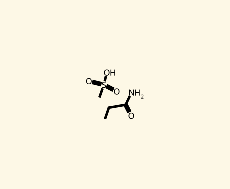 CCC(N)=O.CS(=O)(=O)O